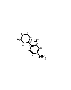 Cl.Nc1ccc(C2CCCNC2)cc1